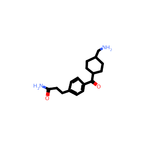 NCC1CCC(C(=O)c2ccc(CCC(N)=O)cc2)CC1